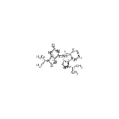 CC(C)n1nccc1-c1ncccc1CNc1nc(Cl)nc2c1ncn2C(C)C